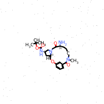 CN1CCCC[C@H](N)C(=O)CN2C[C@@H](NC(=O)OC(C)(C)C)C[C@H]2COc2cccc(c2)C1=O